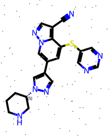 N#Cc1cnn2cc(-c3cnn([C@H]4CCCNC4)c3)cc(Sc3cncnc3)c12